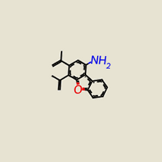 C=C(C)c1cc(N)c2c(oc3ccccc32)c1C(=C)C